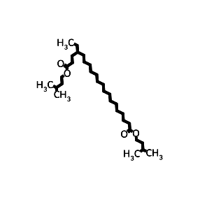 CCC(CCCCCCCCCCCCCCCC(=O)OCCC(C)C)CCC(=O)OCCC(C)C